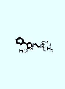 CN(C)CCn1cc(-c2ccccc2)c(O)n1